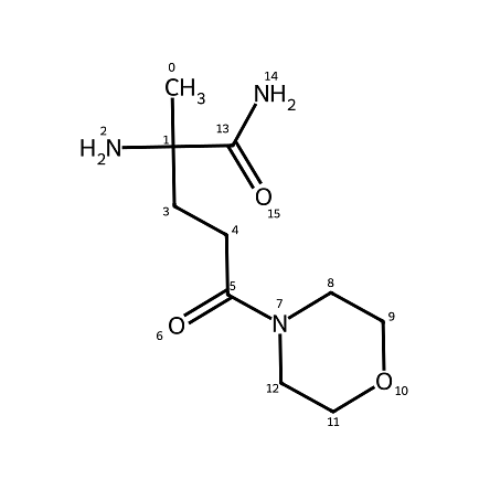 CC(N)(CCC(=O)N1CCOCC1)C(N)=O